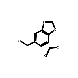 ClCCl.ClCc1ccc2c(c1)OCO2